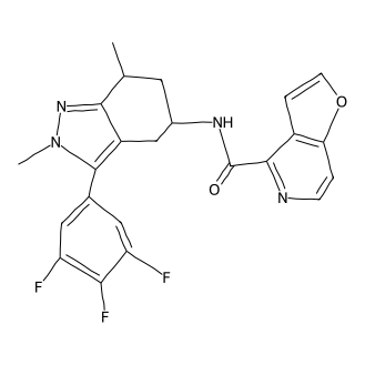 CC1CC(NC(=O)c2nccc3occc23)Cc2c1nn(C)c2-c1cc(F)c(F)c(F)c1